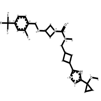 COC1(c2nnc(C3CC(CN(C)C(=O)N4CC(OCc5ccc(C(F)(F)F)cc5F)C4)C3)[nH]2)CC1